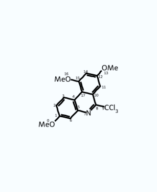 COc1ccc2c(c1)nc(C(Cl)(Cl)Cl)c1cc(OC)cc(OC)c12